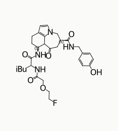 CCC(C)C(NC(=O)COCCF)C(=O)N[C@H]1CCc2ccn3c2C1C(=O)C[C@H](C(=O)NCc1ccc(O)cc1)C3